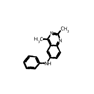 Cc1nc(C)c2cc(Nc3ccccc3)ccc2n1